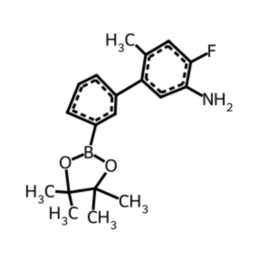 Cc1cc(F)c(N)cc1-c1cccc(B2OC(C)(C)C(C)(C)O2)c1